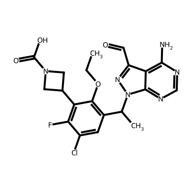 CCOc1c(C(C)n2nc(C=O)c3c(N)ncnc32)cc(Cl)c(F)c1C1CN(C(=O)O)C1